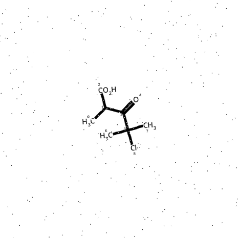 CC(C(=O)O)C(=O)C(C)(C)Cl